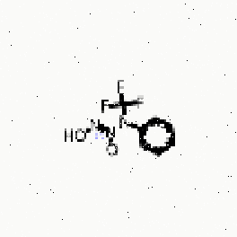 [O-]/[N+](=N\O)N(c1ccccc1)C(F)(F)F